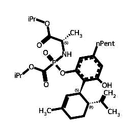 C=C(C)[C@@H]1CCC(C)=C[C@H]1c1c(O)cc(CCCCC)cc1OP(=O)(N[C@@H](C)C(=O)OC(C)C)C(=O)OC(C)C